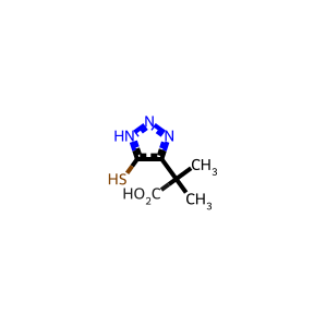 CC(C)(C(=O)O)c1nn[nH]c1S